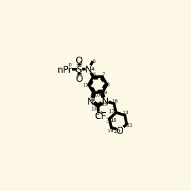 CCCS(=O)(=O)N(C)c1ccc2c(c1)nc(C(F)(F)F)n2CC1CCOCC1